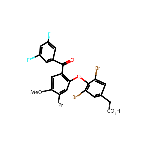 COc1cc(C(=O)c2cc(F)cc(F)c2)c(Oc2c(Br)cc(CC(=O)O)cc2Br)cc1C(C)C